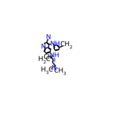 C=Cc1cccc(Nc2c(C#N)cnc3cc(C)c(NC(=C)/C=C/CN(C)C)cc23)c1